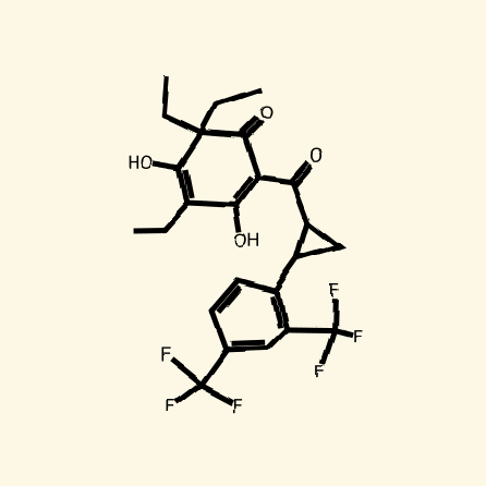 CCC1=C(O)C(CC)(CC)C(=O)C(C(=O)C2CC2c2ccc(C(F)(F)F)cc2C(F)(F)F)=C1O